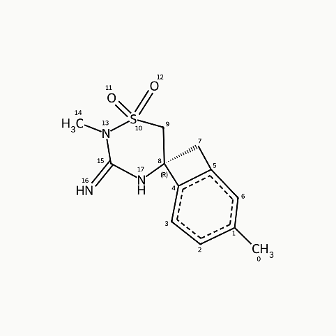 Cc1ccc2c(c1)C[C@]21CS(=O)(=O)N(C)C(=N)N1